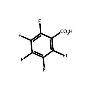 CCc1c(F)c(F)c(F)c(F)c1C(=O)O